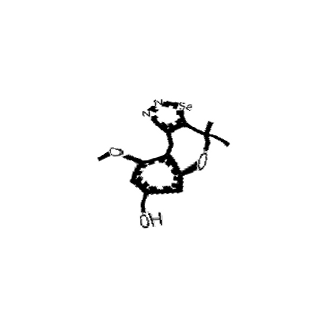 COc1cc(O)cc2c1-c1nn[se]c1C(C)(C)O2